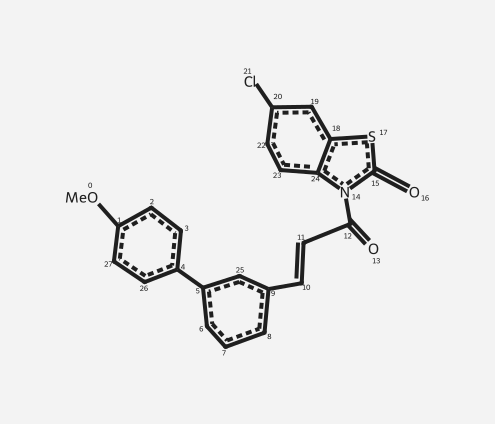 COc1ccc(-c2cccc(C=CC(=O)n3c(=O)sc4cc(Cl)ccc43)c2)cc1